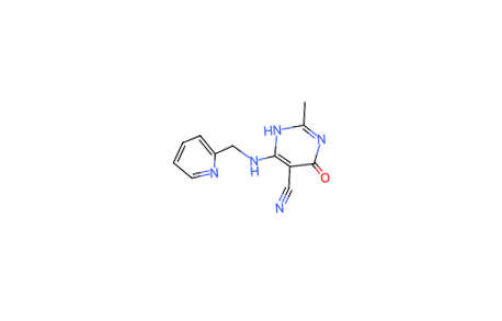 Cc1nc(=O)c(C#N)c(NCc2ccccn2)[nH]1